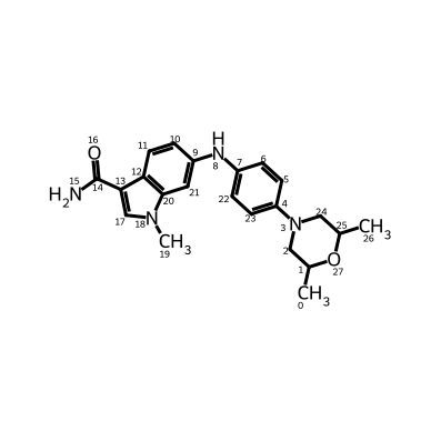 CC1CN(c2ccc(Nc3ccc4c(C(N)=O)cn(C)c4c3)cc2)CC(C)O1